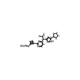 CNCC12CC(C1)N(c1nccc(C(c3cc(C4CCCC4)[nH]n3)C(F)F)n1)C2